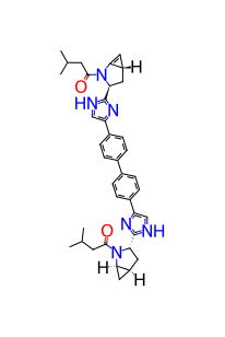 CC(C)CC(=O)N1C2=C[C@@H]2C[C@H]1c1nc(-c2ccc(-c3ccc(-c4c[nH]c([C@@H]5C[C@H]6C[C@H]6N5C(=O)CC(C)C)n4)cc3)cc2)c[nH]1